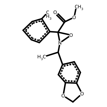 COC(=O)C1(c2ccccc2C)ON1C(C)c1ccc2c(c1)OCO2